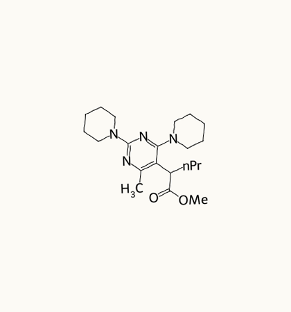 CCCC(C(=O)OC)c1c(C)nc(N2CCCCC2)nc1N1CCCCC1